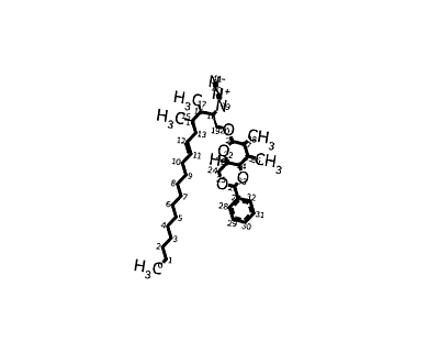 CCCCCCCCCCCC=CC[C@@H](C)[C@@H](C)[C@H](COC1O[C@H]2COC(c3ccccc3)OC2C(C)C1C)N=[N+]=[N-]